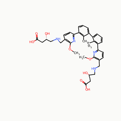 COc1nc(-c2cccc(-c3cccc(-c4ccc(CNC[C@@H](O)CC(=O)O)c(OC)n4)c3C)c2C)ccc1CNC[C@@H](O)CC(=O)O